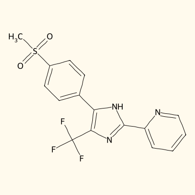 CS(=O)(=O)c1ccc(-c2[nH]c(-c3ccccn3)nc2C(F)(F)F)cc1